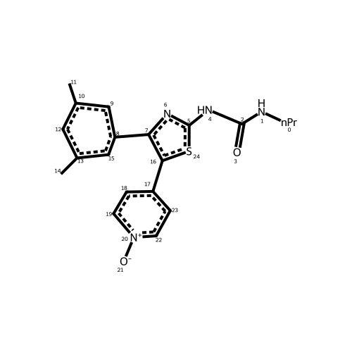 CCCNC(=O)Nc1nc(-c2cc(C)cc(C)c2)c(-c2cc[n+]([O-])cc2)s1